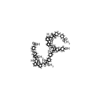 COC(=O)[C@H]1CC[C@H](CN2CCc3c(nc(C(=O)Nc4cccc(-c5cccc(NC(=O)c6nc7c(n6C)CCN(C6CCC(O)CC6)C7)c5Cl)c4Cl)n3C)C2)CC1.Cn1c(C(=O)Nc2cccc(-c3cccc(NC(=O)c4nc5c(n4C)CCN(C4CCC(O)CC4)C5)c3Cl)c2Cl)nc2c1CCN(C[C@H]1CC[C@H](C(=O)O)CC1)C2